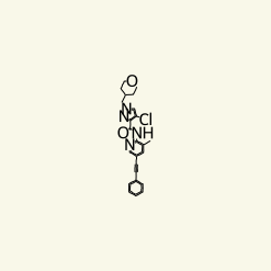 Cc1cc(C#Cc2ccccc2)cnc1NC(=O)c1nn(CC2CCOCC2)cc1Cl